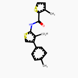 Cc1ccc(-c2csc(NC(=O)c3sccc3C)c2C(=O)O)cc1